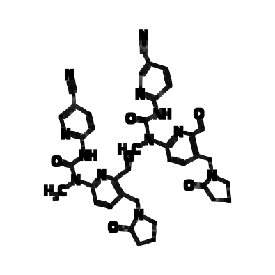 CN(C(=O)Nc1ccc(C#N)cn1)c1ccc(CN2CCCC2=O)c(C=O)n1.CN(C(=O)Nc1ccc(C#N)cn1)c1ccc(CN2CCCC2=O)c(C=O)n1